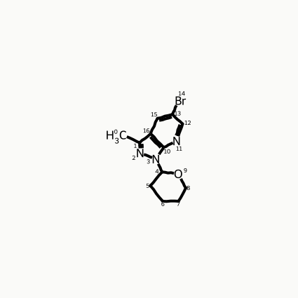 Cc1nn(C2CCCCO2)c2ncc(Br)cc12